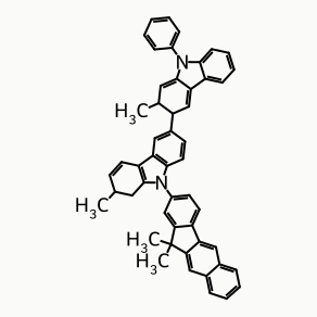 CC1C=Cc2c(n(-c3ccc4c(c3)C(C)(C)c3cc5ccccc5cc3-4)c3ccc(C4C=c5c(n(-c6ccccc6)c6ccccc56)=CC4C)cc23)C1